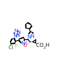 O=C(O)[C@H]1C[C@@H]1CC(c1ccc(-c2c(-n3cnnn3)ccc(Cl)c2F)c[n+]1[O-])n1cc(-c2ccccc2)cn1